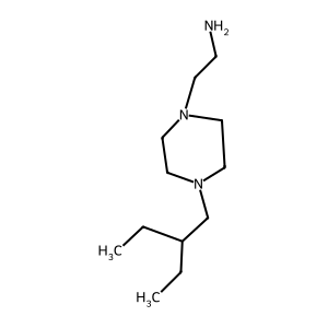 CCC(CC)CN1CCN(CCN)CC1